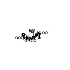 O=C([O-])C1=C(CN2CCN(c3cc4c(cc3F)c(=O)c(C(=O)[O-])cn4C3CC3)CC2)CS[C@@H]2[C@H](NC(=O)C(C(=O)[O-])c3ccccc3)C(=O)N12.[Na+].[Na+].[Na+]